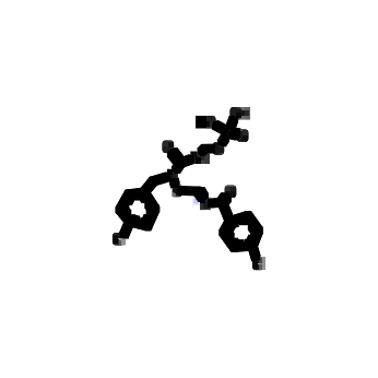 O=C(/N=C/SN(Cc1ccc(Cl)cc1)C(=O)NCOP(=O)(O)O)c1ccc(Cl)cc1